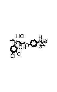 CCN(C[C@H](O)COc1ccc(NS(C)(=O)=O)cc1)c1ccc(Cl)c(Cl)c1.Cl